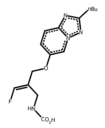 CCCCc1nc2ccc(OC/C(=C/F)CNC(=O)O)cn2n1